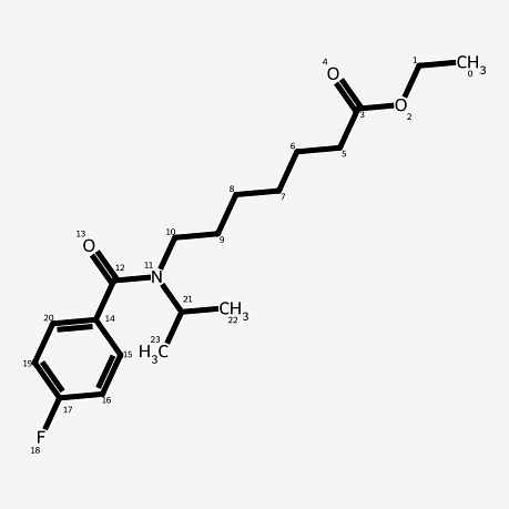 CCOC(=O)CCCCCCN(C(=O)c1ccc(F)cc1)C(C)C